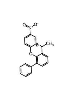 CC(Br)c1cccc(-c2ccccc2)c1Oc1ccc([N+](=O)[O-])cc1